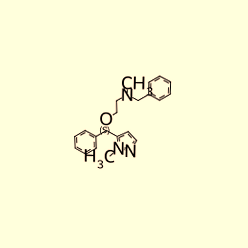 CN(CCO[C@@H](c1ccccc1)c1ccnn1C)Cc1ccccc1